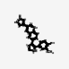 Cc1nc(-c2[nH]cnc2-c2ccc3ncc(-c4cn[nH]c4)cc3n2)ccc1F